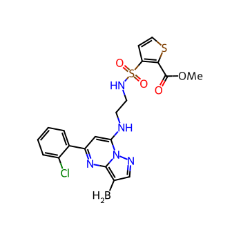 Bc1cnn2c(NCCNS(=O)(=O)c3ccsc3C(=O)OC)cc(-c3ccccc3Cl)nc12